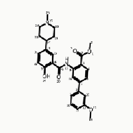 COC(=O)c1ccc(-c2cccc(OC)c2)cc1NC(=O)c1cc(C2CCN(C)CC2)ccc1O